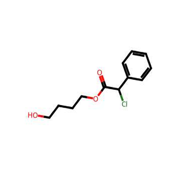 O=C(OCCCCO)C(Cl)c1ccccc1